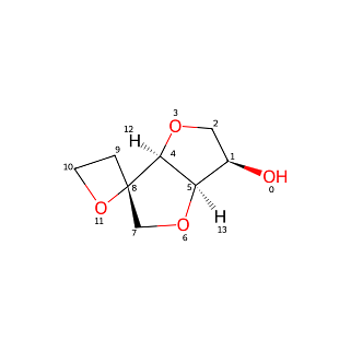 O[C@@H]1CO[C@H]2[C@@H]1OC[C@@]21CCO1